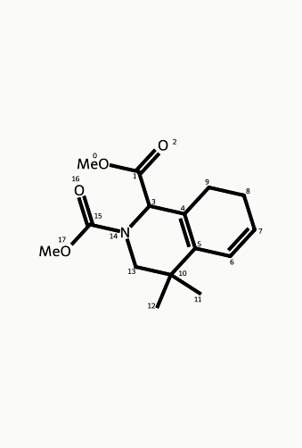 COC(=O)C1C2=C(C=CCC2)C(C)(C)CN1C(=O)OC